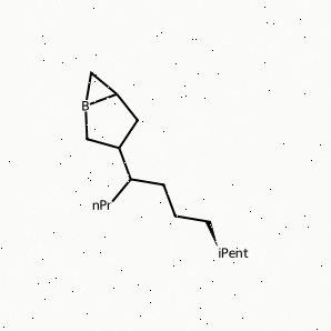 CCCC(CCC[C@H](C)CCC)C1CB2CC2C1